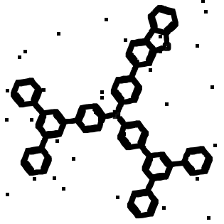 c1ccc(-c2cc(-c3ccccc3)cc(-c3ccc(N(c4ccc(-c5cc(-c6ccccc6)cc(-c6ccccc6)c5)cc4)c4ccc(-c5ccc6c(c5)oc5ccccc56)cc4)cc3)c2)cc1